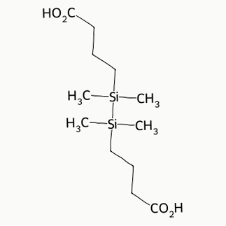 C[Si](C)(CCCC(=O)O)[Si](C)(C)CCCC(=O)O